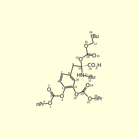 CCCOC(=O)Oc1ccc(C[C@](NC(C)CC)(OC(=O)OCC(C)(C)C)C(=O)O)cc1OC(=O)OCCC